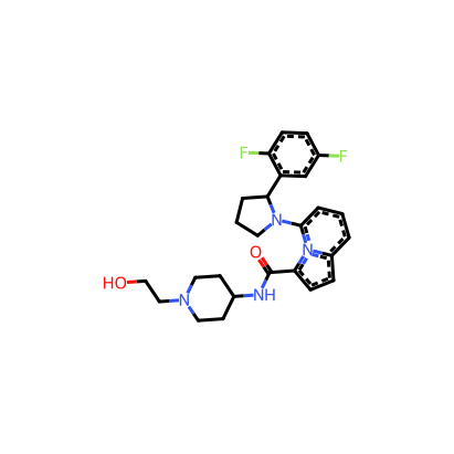 O=C(NC1CCN(CCO)CC1)c1ccc2cccc(N3CCCC3c3cc(F)ccc3F)n12